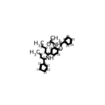 CCCCC(NC(CCC)c1ccccc1)c1ccc(OCc2ccccc2)c(NC(C)=O)c1